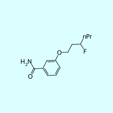 CCCC(F)CCOc1cccc(C(N)=O)c1